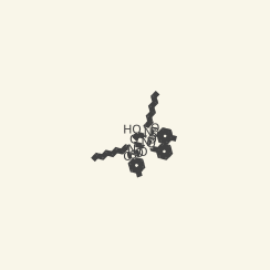 CCCCCCCCN(CC(=O)N(OCc1ccccc1)C(C(=O)O)N(CCCCCCCC)S(=O)(=O)c1ccc(C)cc1)S(=O)(=O)c1ccc(C)cc1